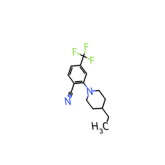 CCC1CCN(c2cc(C(F)(F)F)ccc2C#N)CC1